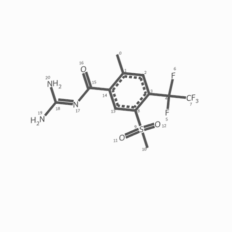 Cc1cc(C(F)(F)C(F)(F)F)c(S(C)(=O)=O)cc1C(=O)N=C(N)N